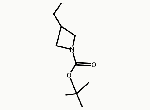 [CH2]CC1CN(C(=O)OC(C)(C)C)C1